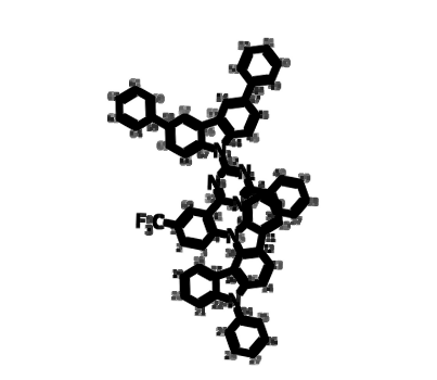 FC(F)(F)c1ccc(-n2c3ccccc3c3ccc4c(c5ccccc5n4-c4ccccc4)c32)c(-c2nc(-c3ccccc3)nc(-n3c4ccc(-c5ccccc5)cc4c4cc(-c5ccccc5)ccc43)n2)c1